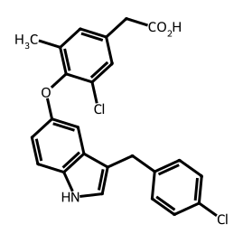 Cc1cc(CC(=O)O)cc(Cl)c1Oc1ccc2[nH]cc(Cc3ccc(Cl)cc3)c2c1